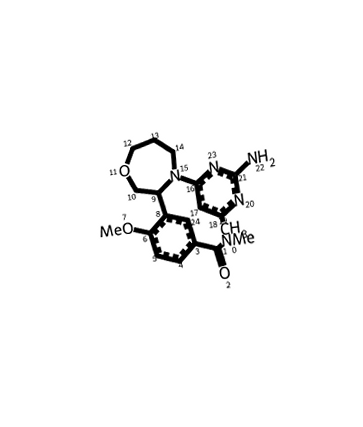 CNC(=O)c1ccc(OC)c(C2COCCCN2c2cc(C)nc(N)n2)c1